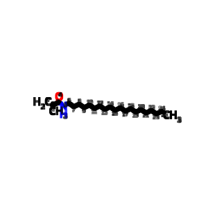 C=C(C)C(=O)NCCCCCCCCCCCCCCCCCCCC